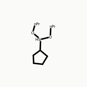 CCCO[SiH](OCCC)C1CCCC1